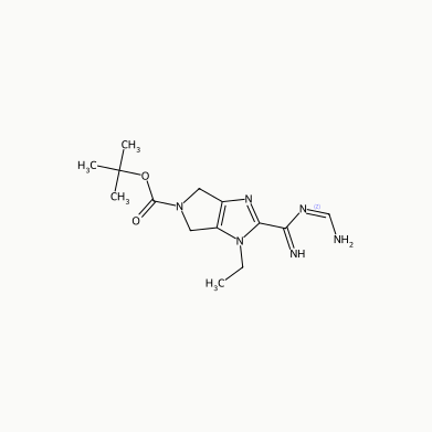 CCn1c(C(=N)/N=C\N)nc2c1CN(C(=O)OC(C)(C)C)C2